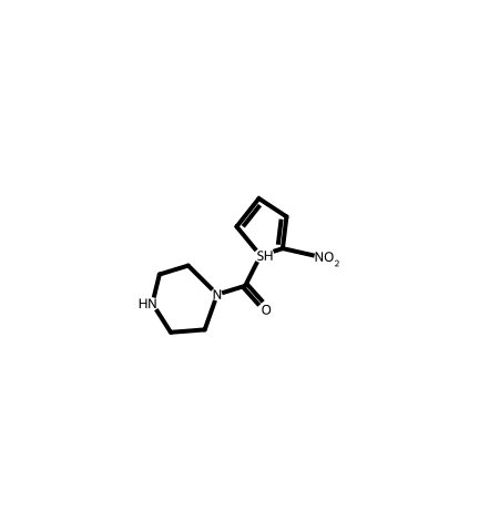 O=C(N1CCNCC1)[SH]1C=CC=C1[N+](=O)[O-]